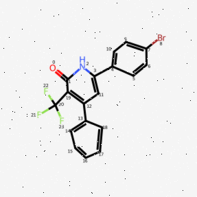 O=c1[nH]c(-c2ccc(Br)cc2)cc(-c2ccccc2)c1C(F)(F)F